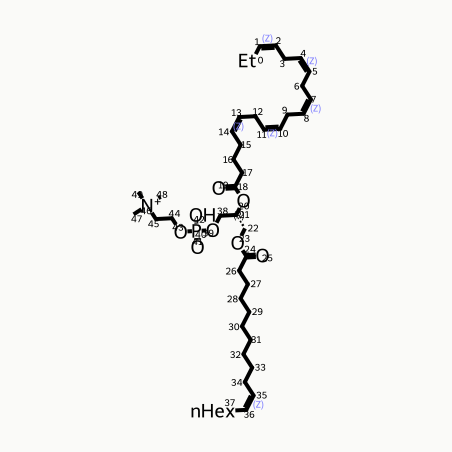 CC/C=C\C/C=C\C/C=C\C/C=C\C/C=C\CCCC(=O)O[C@H](COC(=O)CCCCCCCCC/C=C\CCCCCC)COP(=O)(O)OCC[N+](C)(C)C